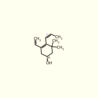 C=CC1=C(/C=C\C)C(C)(C)C[C@@H](O)C1